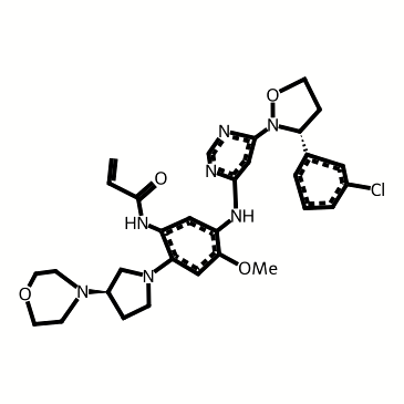 C=CC(=O)Nc1cc(Nc2cc(N3OCC[C@@H]3c3cccc(Cl)c3)ncn2)c(OC)cc1N1CC[C@@H](N2CCOCC2)C1